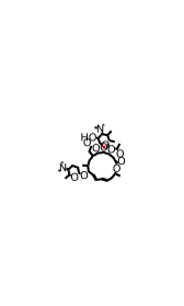 COC1C(OC(C)=O)CC(=O)OC(C)C/C=C/C=C/C(OC2CCC(N(C)C)C(C)O2)C(C)CC(CC=O)C1OC1OC(C)C(C)C(N(C)C)C1O